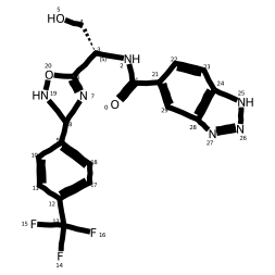 O=C(N[C@@H](CO)C1=NC(c2ccc(C(F)(F)F)cc2)NO1)c1ccc2[nH]nnc2c1